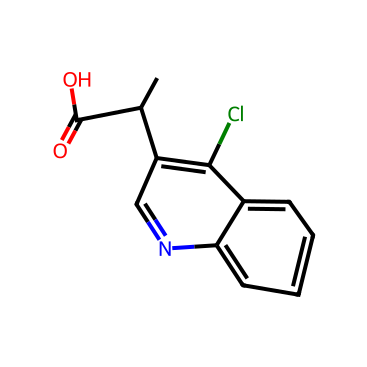 CC(C(=O)O)c1cnc2ccccc2c1Cl